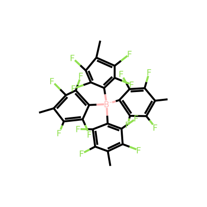 Cc1c(F)c(F)c([B-](c2c(F)c(F)c(C)c(F)c2F)(c2c(F)c(F)c(C)c(F)c2F)c2c(F)c(F)c(C)c(F)c2F)c(F)c1F